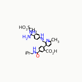 CS(=O)(=O)O.Cc1ccc(-c2ccc(C(=O)NCC(C)C)cc2C(=O)O)c(CNc2ccc(C(=N)N)cc2)n1